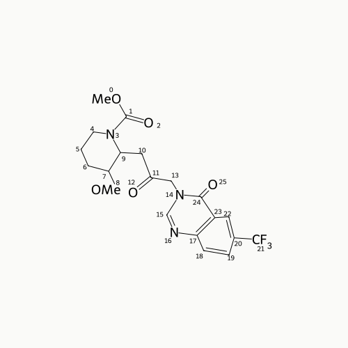 COC(=O)N1CCCC(OC)C1CC(=O)Cn1cnc2ccc(C(F)(F)F)cc2c1=O